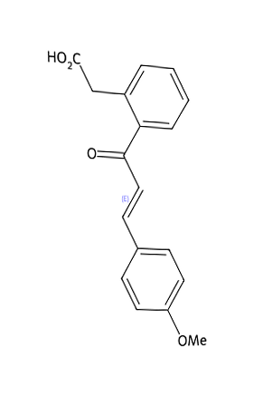 COc1ccc(/C=C/C(=O)c2ccccc2CC(=O)O)cc1